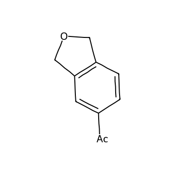 CC(=O)c1ccc2c(c1)COC2